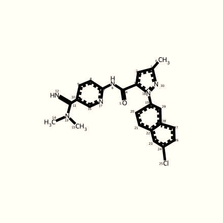 Cc1cc(C(=O)Nc2ccc(C(=N)N(C)C)cn2)n(-c2ccc3cc(Cl)ccc3c2)n1